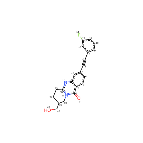 O=c1c2ccc(C#Cc3cccc(F)c3)cc2nc2n1CC(CO)CC2